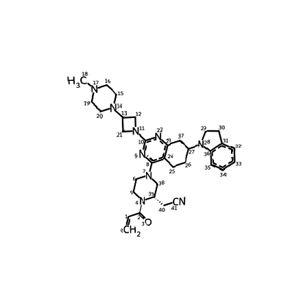 C=CC(=O)N1CCN(c2nc(N3CC(N4CCN(C)CC4)C3)nc3c2CCC(N2CCc4ccccc42)C3)C[C@@H]1CC#N